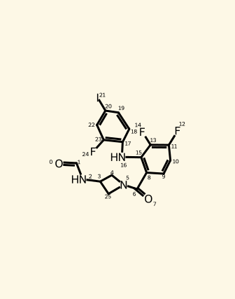 O=CNC1CN(C(=O)c2ccc(F)c(F)c2Nc2ccc(I)cc2F)C1